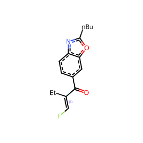 CCCCc1nc2ccc(C(=O)/C(=C/F)CC)cc2o1